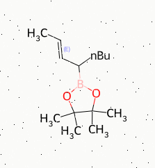 C/C=C/C(CCCC)B1OC(C)(C)C(C)(C)O1